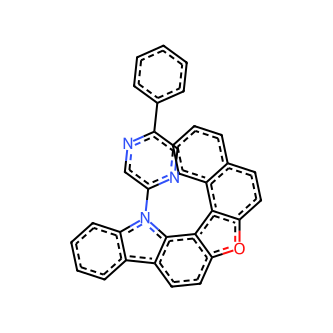 c1ccc(-c2cnc(-n3c4ccccc4c4ccc5oc6ccc7ccccc7c6c5c43)cn2)cc1